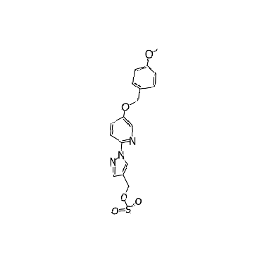 COc1ccc(COc2ccc(-n3cc(COS(C)(=O)=O)cn3)nc2)cc1